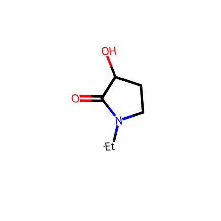 C[CH]N1CCC(O)C1=O